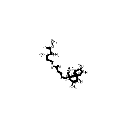 COC(=O)[C@H](N)[C@H](C)CCOC(=O)/C=C/C=C\C(=O)O[C@@H]1C[C@H]2O[C@@H]3C=C(C)CC[C@]3(C)[C@]1(C)[C@]21CO1